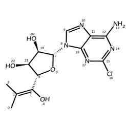 CC(C)=C(O)[C@H]1O[C@@H](n2cnc3c(N)nc(Cl)nc32)[C@H](O)[C@@H]1O